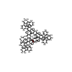 Cc1cccc(C)c1N1c2cc3c(cc2B2c4ccccc4Oc4cc([Si](c5ccccc5)(c5ccccc5)c5ccccc5)cc1c42)B1c2cc4c(cc2Oc2cc([Si](c5ccccc5)(c5ccccc5)c5ccccc5)cc(c21)O3)Oc1cc([Si](c2ccccc2)(c2ccccc2)c2ccccc2)cc2c1B4c1ccccc1O2